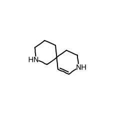 C1=CC2(CCCNC2)CCN1